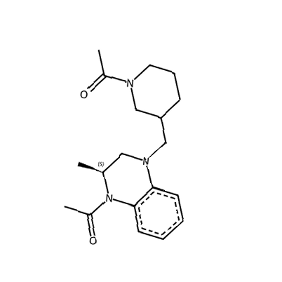 CC(=O)N1CCCC(CN2C[C@H](C)N(C(C)=O)c3ccccc32)C1